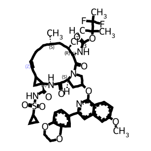 COc1ccc2c(OC3C[C@H]4C(=O)N[C@]5(C(=O)NS(=O)(=O)C6CC6)CC5/C=C\CC[C@H](C)C[C@@H](C)[C@H](NC(=O)OC(C)(C)C(C)(F)F)C(=O)N4C3)nc(-c3ccc4c(c3)OCCO4)cc2c1